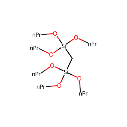 CCCO[Si](C[Si](OCCC)(OCCC)OCCC)(OCCC)OCCC